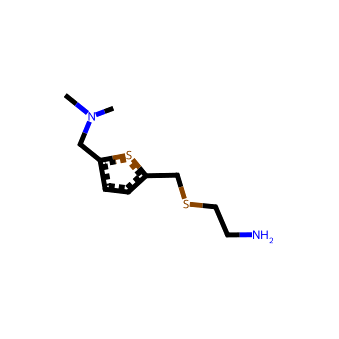 CN(C)Cc1ccc(CSCCN)s1